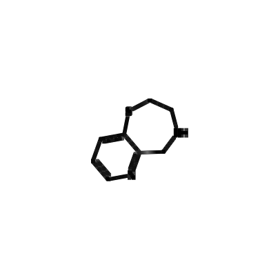 c1cnc2c(c1)SCCNC2